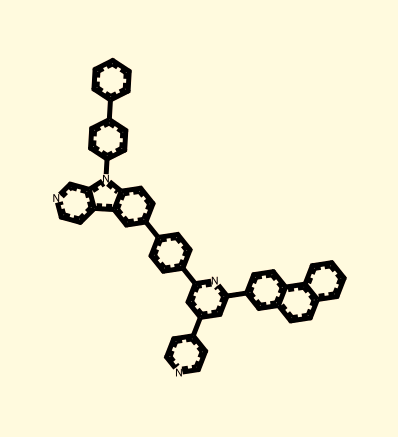 c1ccc(-c2ccc(-n3c4ccc(-c5ccc(-c6cc(-c7ccncc7)cc(-c7ccc8c(ccc9ccccc98)c7)n6)cc5)cc4c4ccncc43)cc2)cc1